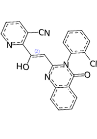 N#Cc1cccnc1/C(O)=C/c1nc2ccccc2c(=O)n1-c1ccccc1Cl